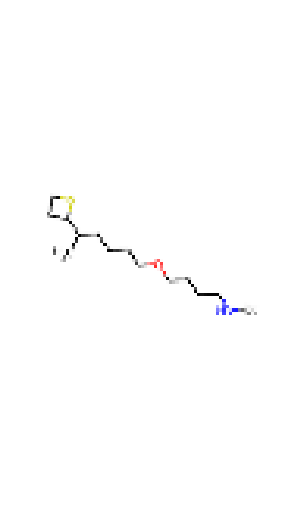 CCNCCCCOCCCCC(C)C1CCS1